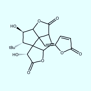 CC(C)(C)[C@@H]1[C@@H](O)C2OC(=O)C3OC4OC(=O)[C@H](O)C41C32/C=C1\C=CC(=O)O1